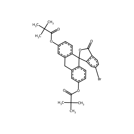 CC(C)(C)C(=O)Oc1ccc2c(c1)Cc1cc(OC(=O)C(C)(C)C)ccc1C21OC(=O)c2ccc(Br)cc21